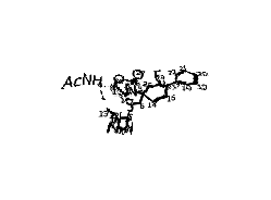 CC(=O)NC[C@H]1CN(C2(CSc3ncnn3C)C=CC(c3ccccc3)=C(F)C2)C(=O)O1